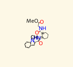 COC(=O)CNC(=O)[C@@H]1CCCC[C@@H]1NC(=O)c1cc2ccccc2n1C